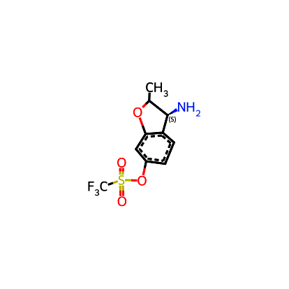 CC1Oc2cc(OS(=O)(=O)C(F)(F)F)ccc2[C@@H]1N